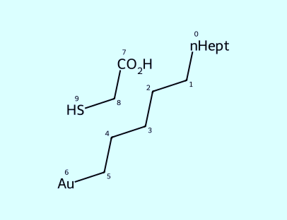 CCCCCCCCCCC[CH2][Au].O=C(O)CS